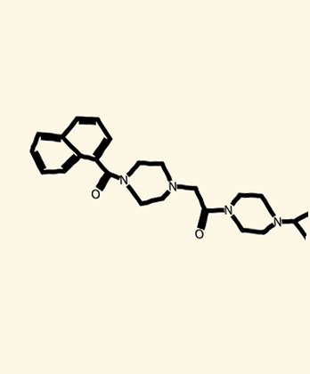 O=C(CN1CCN(C(=O)c2cccc3ccccc23)CC1)N1CCN(C2CCC2)CC1